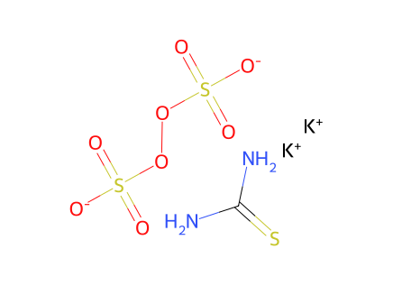 NC(N)=S.O=S(=O)([O-])OOS(=O)(=O)[O-].[K+].[K+]